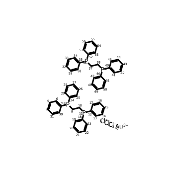 [Au+3].[Cl-].[Cl-].[Cl-].c1ccc(P(CCP(c2ccccc2)c2ccccc2)c2ccccc2)cc1.c1ccc(P(CCP(c2ccccc2)c2ccccc2)c2ccccc2)cc1